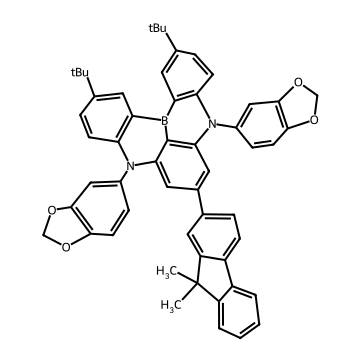 CC(C)(C)c1ccc2c(c1)B1c3cc(C(C)(C)C)ccc3N(c3ccc4c(c3)OCO4)c3cc(-c4ccc5c(c4)C(C)(C)c4ccccc4-5)cc(c31)N2c1ccc2c(c1)OCO2